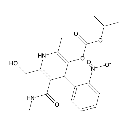 CNC(=O)C1=C(CO)NC(C)=C(OC(=O)OC(C)C)C1c1ccccc1[N+](=O)[O-]